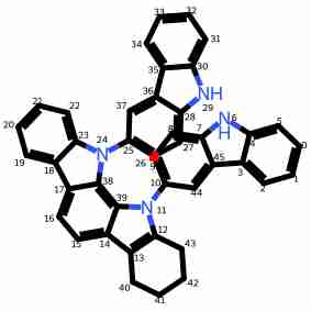 c1ccc2c(c1)[nH]c1ccc(-n3c4c(c5ccc6c7ccccc7n(-c7ccc8[nH]c9ccccc9c8c7)c6c53)CCCC4)cc12